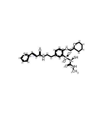 CNC(=O)N(S)S(=O)(=O)c1cc(CCNC(=O)/C=C/c2cccs2)ccc1OCC1CCCCO1